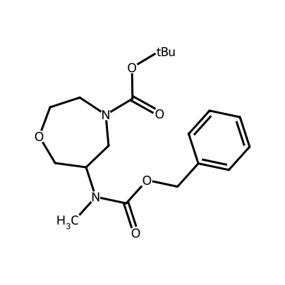 CN(C(=O)OCc1ccccc1)C1COCCN(C(=O)OC(C)(C)C)C1